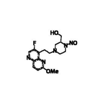 COc1ccc2ncc(F)c(CCN3CCN(N=O)C(CO)C3)c2n1